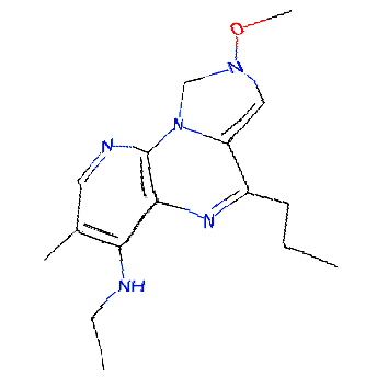 CCCC1=Nc2c(ncc(C)c2NCC)N2CN(OC)C=C12